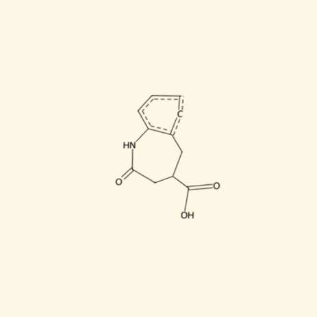 O=C1CC(C(=O)O)Cc2ccccc2N1